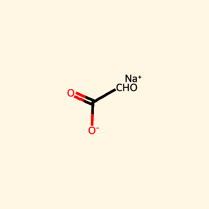 O=CC(=O)[O-].[Na+]